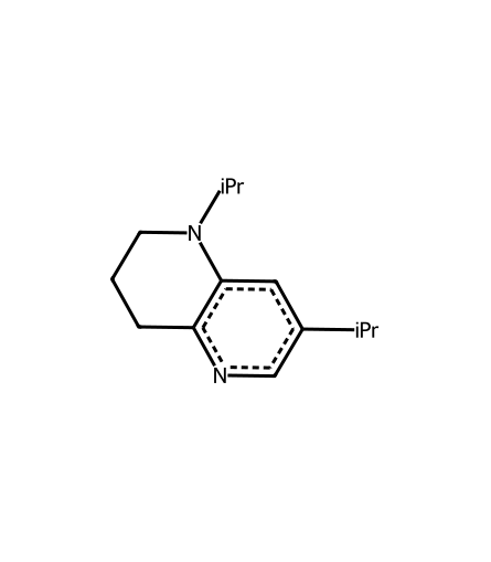 CC(C)c1cnc2c(c1)N(C(C)C)CCC2